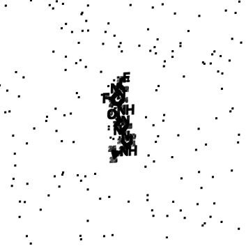 O=C(Nc1cc(F)c2nc(CF)cn2c1)c1cnc(N2CC[C@@H](NC3CC3)C2)cn1